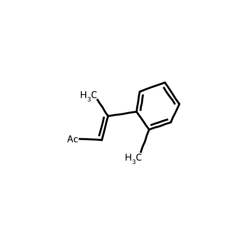 CC(=O)C=C(C)c1ccccc1C